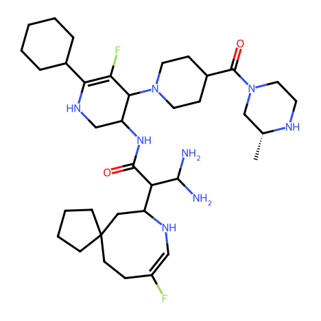 C[C@@H]1CN(C(=O)C2CCN(C3C(F)=C(C4CCCCC4)NCC3NC(=O)C(C(N)N)C3CC4(CCCC4)CC/C(F)=C\N3)CC2)CCN1